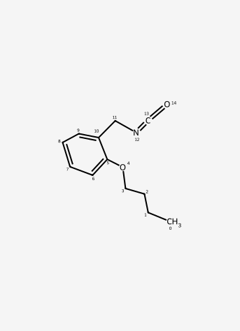 CCCCOc1ccccc1CN=C=O